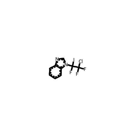 FC(F)(Cl)C(F)(I)n1cnc2ccccc21